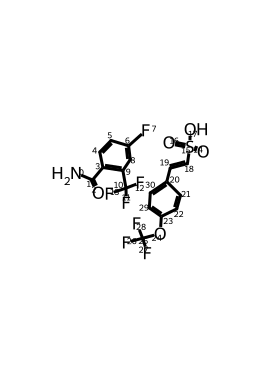 NC(=O)c1ccc(F)cc1C(F)(F)F.O=S(=O)(O)C=Cc1ccc(OC(F)(F)F)cc1